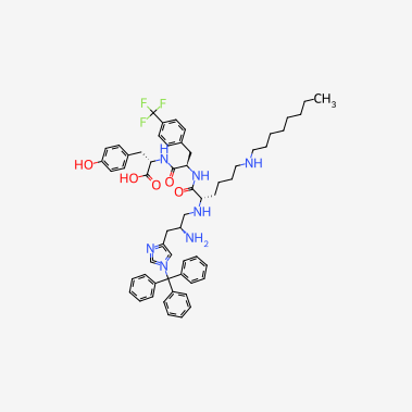 CCCCCCCCNCCCC[C@H](NC[C@@H](N)Cc1cn(C(c2ccccc2)(c2ccccc2)c2ccccc2)cn1)C(=O)N[C@H](Cc1ccc(C(F)(F)F)cc1)C(=O)N[C@@H](Cc1ccc(O)cc1)C(=O)O